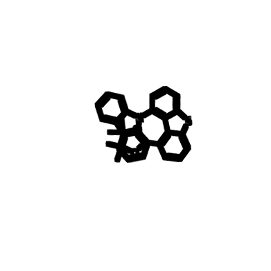 CC1(C)OB(c2cccc3sc4cccc(-n5c6ccccc6c6ccccc65)c4c23)OC1(C)C